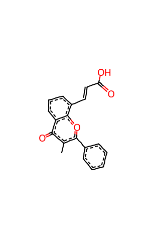 Cc1c(-c2ccccc2)oc2c(C=CC(=O)O)cccc2c1=O